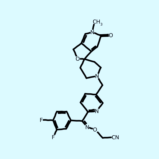 Cn1cc2c(cc1=O)C1(CCN(Cc3ccc(/C(=N\OCC#N)c4ccc(F)c(F)c4)nc3)CC1)OC2